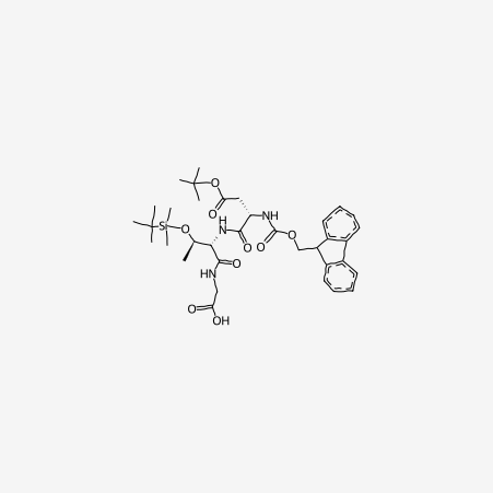 C[C@@H](O[Si](C)(C)C(C)(C)C)[C@H](NC(=O)[C@H](CC(=O)OC(C)(C)C)NC(=O)OCC1c2ccccc2-c2ccccc21)C(=O)NCC(=O)O